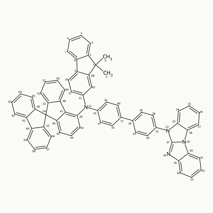 CC1(C)c2ccccc2-c2ccc(N(c3ccc(-c4ccc(-n5c6ccccc6n6c7ccccc7nc56)cc4)cc3)c3cccc4c3-c3ccccc3C43c4ccccc4-c4ccccc43)cc21